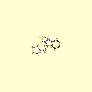 P.c1ccc2c(c1)nnn2ON1CCCC1